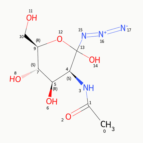 CC(=O)N[C@H]1[C@@H](O)[C@H](O)[C@@H](CO)OC1(O)N=[N+]=[N-]